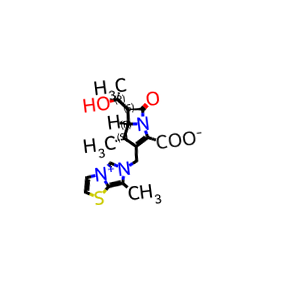 Cc1c2scc[n+]2cn1CC1=C(C(=O)[O-])N2C(=O)[C@H]([C@@H](C)O)[C@H]2[C@H]1C